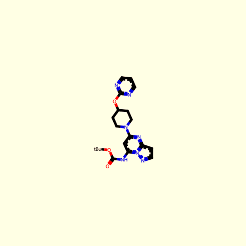 CC(C)(C)OC(=O)Nc1cc(N2CCC(Oc3ncccn3)CC2)nc2ccnn12